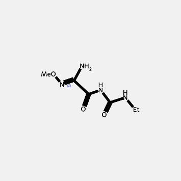 CCNC(=O)NC(=O)/C(N)=N/OC